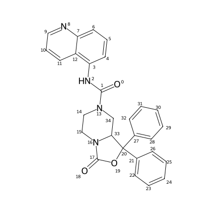 O=C(Nc1cccc2ncccc12)N1CCN2C(=O)OC(c3ccccc3)(c3ccccc3)C2C1